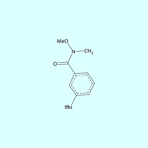 CON(C)C(=O)c1cccc(C(C)(C)C)c1